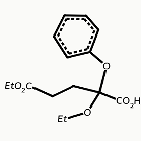 CCOC(=O)CCC(OCC)(Oc1ccccc1)C(=O)O